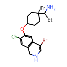 CC[C@H](N)[C@]1(C(C)C)CC[C@@H](Oc2cc3c(cc2Cl)CNC=C3Br)CC1